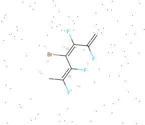 C=C(F)/C(F)=C(Br)\C(F)=C(/C)F